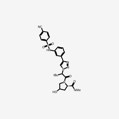 CNC(=O)[C@H]1CC(O)CN1C(=O)C(n1cc(-c2cccc(NS(=O)(=O)c3ccc(C#N)cc3)c2)nn1)C(C)(C)C